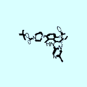 CC[C@H]1[C@H](C)C(Nc2cnc(C)cn2)C2C(=CC=C(N3CCN(C(=O)OC(C)(C)C)CC3)C2C)N1C(C)=O